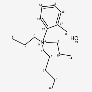 CCCCC[N+](CCC)(CCC)c1ccccc1C.[OH-]